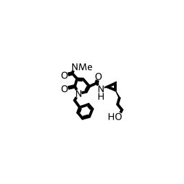 CNC(=O)c1cc(C(=O)N[C@@H]2C[C@H]2CCCO)cn(Cc2ccccc2)c1=O